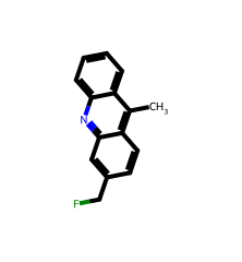 Cc1c2ccccc2nc2cc(CF)ccc12